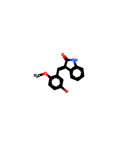 COc1ccc(Br)cc1C=C1C(=O)Nc2ccccc21